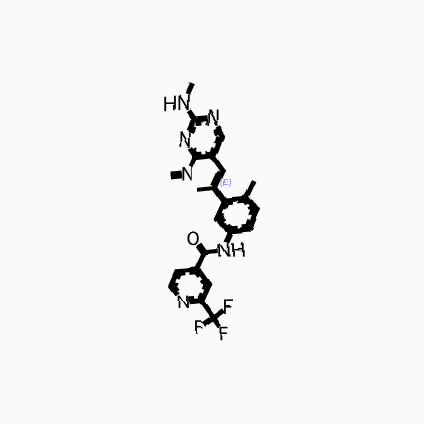 C=Nc1nc(NC)ncc1/C=C(\C)c1cc(NC(=O)c2ccnc(C(F)(F)F)c2)ccc1C